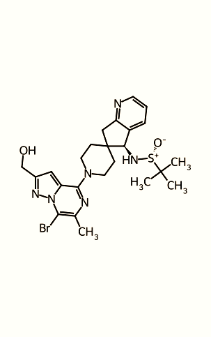 Cc1nc(N2CCC3(CC2)Cc2ncccc2[C@H]3N[S@+]([O-])C(C)(C)C)c2cc(CO)nn2c1Br